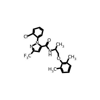 Cc1cccc(C)c1OCC(C)NC(=O)c1cc(C(F)(F)F)nn1-c1ccccc1Cl